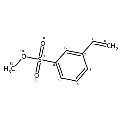 C=Cc1cccc(S(=O)(=O)OC)c1